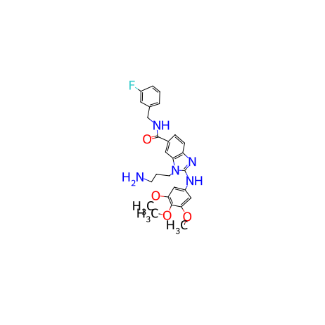 COc1cc(Nc2nc3ccc(C(=O)NCc4cccc(F)c4)cc3n2CCCN)cc(OC)c1OC